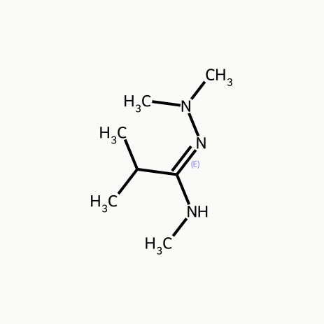 CN/C(=N/N(C)C)C(C)C